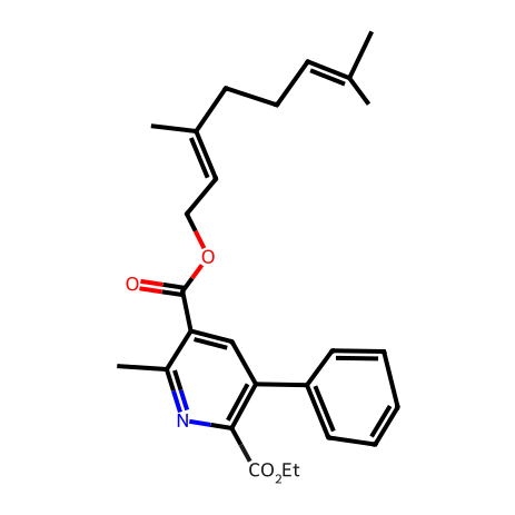 CCOC(=O)c1nc(C)c(C(=O)OC/C=C(\C)CCC=C(C)C)cc1-c1ccccc1